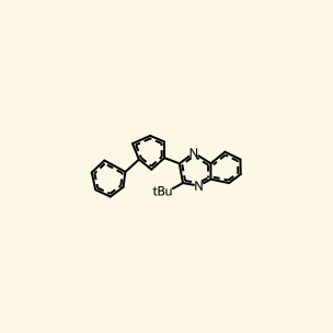 CC(C)(C)c1nc2ccccc2nc1-c1cccc(-c2ccccc2)c1